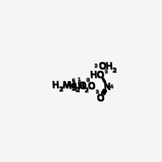 O.O.O.O=NO.[MgH2]